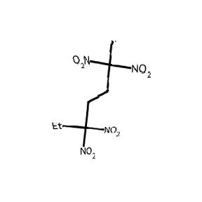 [CH2]C(CCC(CC)([N+](=O)[O-])[N+](=O)[O-])([N+](=O)[O-])[N+](=O)[O-]